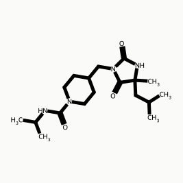 CC(C)CC1(C)NC(=O)N(CC2CCN(C(=O)NC(C)C)CC2)C1=O